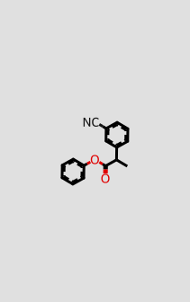 CC(C(=O)Oc1ccccc1)c1cccc(C#N)c1